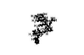 CC[C@H](C)[C@H](NC(=O)[C@H](Cc1c[nH]c2ccccc12)NC(=O)[C@@H](N)C(C)C)C(=O)NCC(=O)N[C@@H](CC(C)C)C(=O)N[C@@H](CCCNC(=N)N)C(=O)N[C@@H](CCCCN)C(=O)N[C@@H](CCCCN)C(=O)N[C@@H](CCCNC(=N)N)C(=O)O